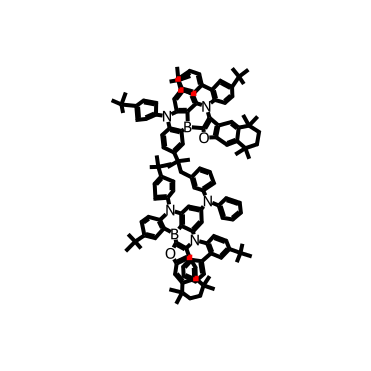 CC(C)(C)c1ccc(N2c3ccc(C(C)(C)C)cc3B3c4oc5cc6c(cc5c4N(c4ccc(C(C)(C)C)cc4-c4ccccc4)c4cc(N(c5ccccc5)c5cccc(CC(C)(C)c7ccc8c(c7)B7c9oc%10cc%11c(cc%10c9N(c9ccc(C(C)(C)C)cc9-c9ccccc9)c9cc(C(C)(C)C)cc(c97)N8c7ccc(C(C)(C)C)cc7)C(C)(C)CCC%11(C)C)c5)cc2c43)C(C)(C)CCC6(C)C)cc1